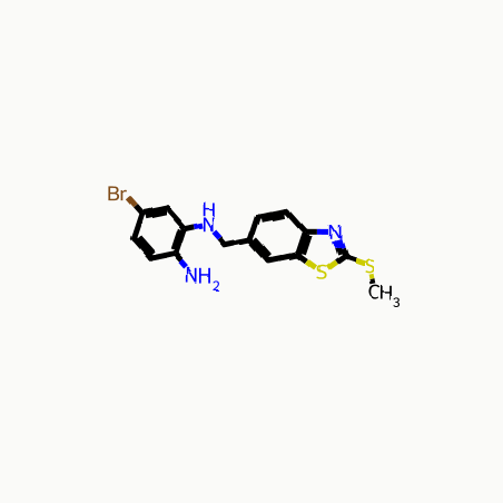 CSc1nc2ccc(CNc3cc(Br)ccc3N)cc2s1